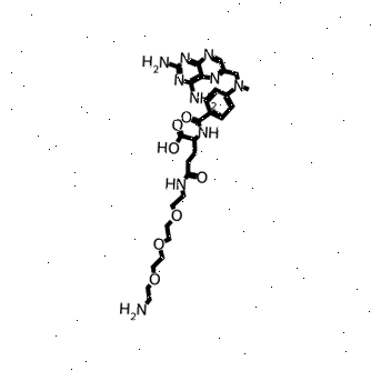 CN(Cc1cnc2nc(N)nc(N)c2n1)c1ccc(C(=O)NC(CCC(=O)NCCOCCOCCOCCN)C(=O)O)cc1